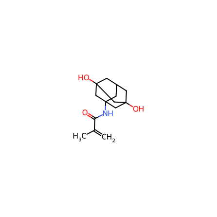 C=C(C)C(=O)NC12CC3CC(O)(CC(O)(C3)C1)C2